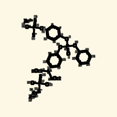 CCCCCCCCSCCCCCCCC.O=P(Oc1ccccc1)(Oc1ccccc1)Oc1ccccc1.[O-]P([O-])(=S)[S-].[O-]P([O-])(=S)[S-].[Zn+2].[Zn+2].[Zn+2]